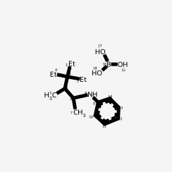 CCC(CC)(CC)C(C)C(C)Nc1ccccc1.OB(O)O